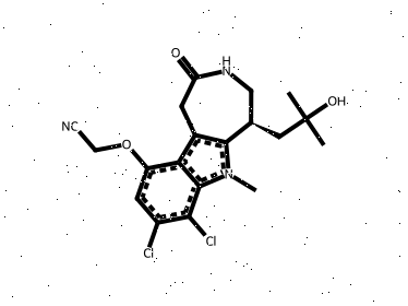 Cn1c2c(c3c(OCC#N)cc(Cl)c(Cl)c31)CC(=O)NC[C@H]2CC(C)(C)O